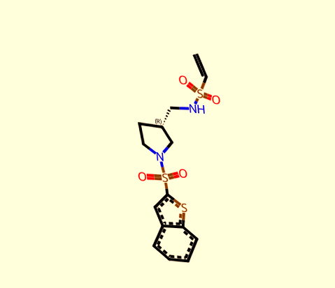 C=CS(=O)(=O)NC[C@H]1CCN(S(=O)(=O)c2cc3ccccc3s2)C1